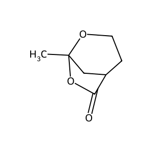 CC12CC(CCO1)C(=O)O2